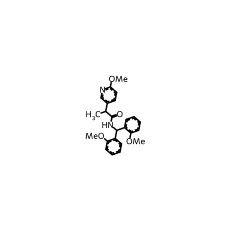 COc1ccc(C(C)C(=O)NC(c2ccccc2OC)c2ccccc2OC)cn1